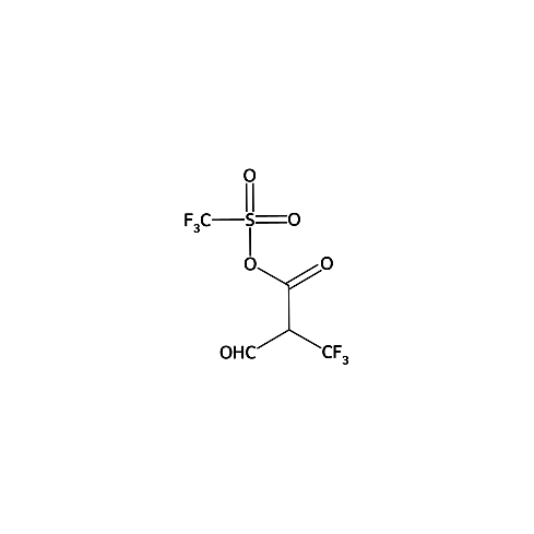 O=CC(C(=O)OS(=O)(=O)C(F)(F)F)C(F)(F)F